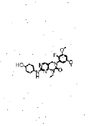 CCN1C(=O)N(c2cc(OC)cc(OC)c2F)Cc2cnc(NC3CCC(O)CC3)nc21